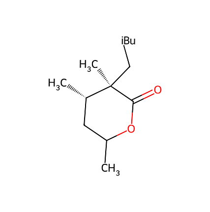 CCC(C)C[C@@]1(C)C(=O)OC(C)C[C@@H]1C